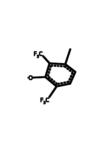 Cc1ccc(C(F)(F)F)c([O])c1C(F)(F)F